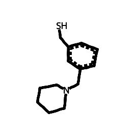 SCc1cccc(CN2CCCCC2)c1